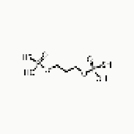 O=P(O)(S)OCCCOP(=O)(O)S